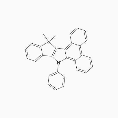 CC1(C)c2ccccc2-c2c1c1c3ccccc3c3ccccc3c1n2-c1ccccc1